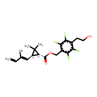 C=C/C(C#N)=C/[C@@H]1[C@@H](C(=O)OCc2c(F)c(F)c(CCO)c(F)c2F)C1(C)C